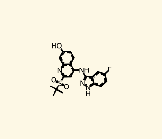 CC(C)(C)S(=O)(=O)c1cc(Nc2n[nH]c3ccc(F)cc23)c2ccc(O)cc2n1